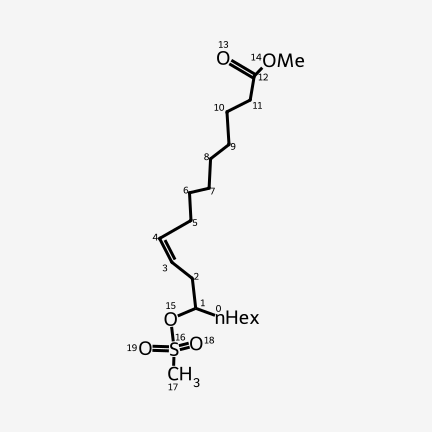 CCCCCCC(C/C=C\CCCCCCCC(=O)OC)OS(C)(=O)=O